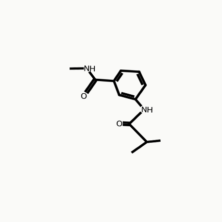 CNC(=O)c1cccc(NC(=O)C(C)C)c1